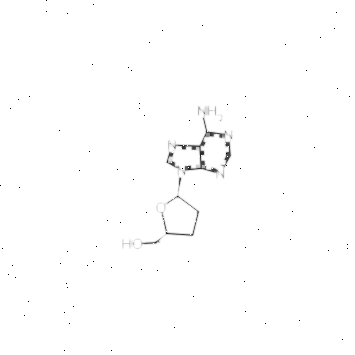 Nc1ncnc2c1ncn2[C@H]1CC[C@@H]([CH]O)O1